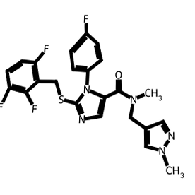 CN(Cc1cnn(C)c1)C(=O)c1cnc(SCc2c(F)ccc(F)c2F)n1-c1ccc(F)cc1